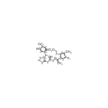 CCOC(=O)CCc1cc(C)c(F)cc1[C@@H](C)OC[C@H](O)CN1CCC[C@H]1Cc1ccc(Cl)c(F)c1